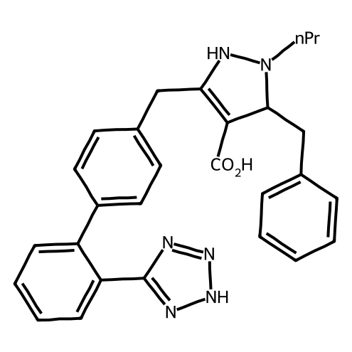 CCCN1NC(Cc2ccc(-c3ccccc3-c3nn[nH]n3)cc2)=C(C(=O)O)C1Cc1ccccc1